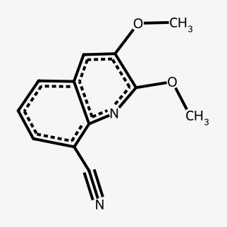 COc1cc2cccc(C#N)c2nc1OC